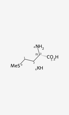 CSCC[C@H](N)C(=O)O.[KH]